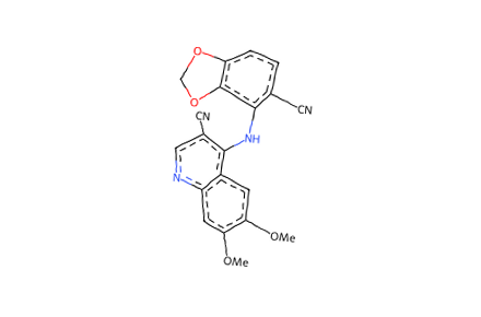 COc1cc2ncc(C#N)c(Nc3c(C#N)ccc4c3OCO4)c2cc1OC